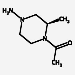 CC(=O)N1CCN(N)C[C@H]1C